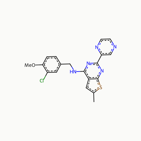 COc1ccc(CNc2nc(-c3cnccn3)nc3sc(C)cc23)cc1Cl